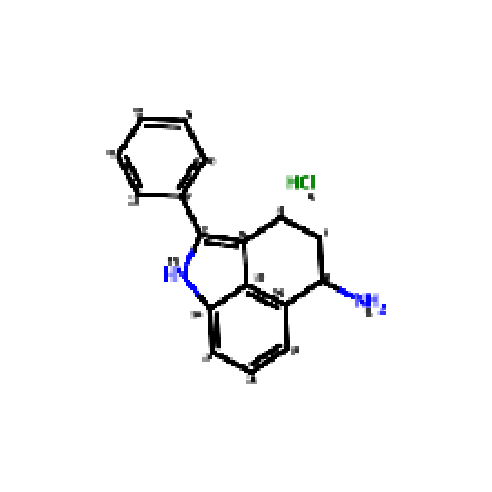 Cl.NC1CCc2c(-c3ccccc3)[nH]c3cccc1c23